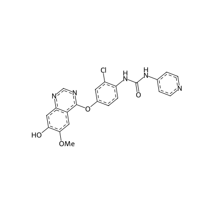 COc1cc2c(Oc3ccc(NC(=O)Nc4ccncc4)c(Cl)c3)ncnc2cc1O